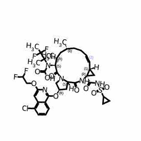 C[C@@H]1CC/C=C\[C@@H]2C[C@@]2(C(=O)NS(=O)(=O)C2CC2)NC(=O)[C@@H]2C[C@@H](Oc3nc(OCC(F)F)cc4c(Cl)cccc34)CN2C(=O)[C@@H](N(C(=O)O)C(C)(C)C(C)(F)F)[C@H](C)C1